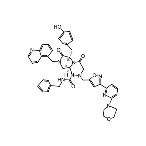 O=C1[C@H](Cc2ccc(O)cc2)N2C(=O)CN(Cc3cc(-c4cccc(N5CCOCC5)n4)no3)N(C(=O)NCc3ccccc3)[C@H]2CN1Cc1cccc2ncccc12